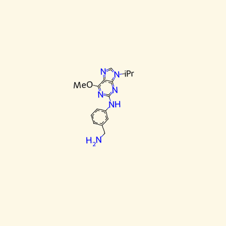 COc1nc(Nc2cccc(CN)c2)nc2c1ncn2C(C)C